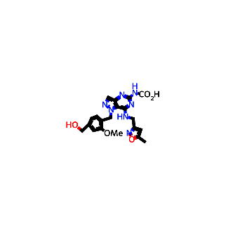 COc1cc(CO)ccc1Cn1ncc2nc(NC(=O)O)nc(NCc3cc(C)on3)c21